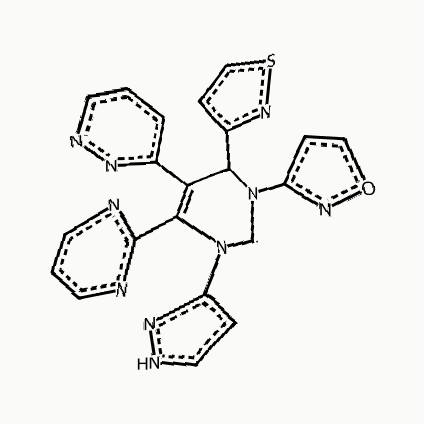 [CH]1N(c2cc[nH]n2)C(c2ncccn2)=C(c2cccnn2)C(c2ccsn2)N1c1ccon1